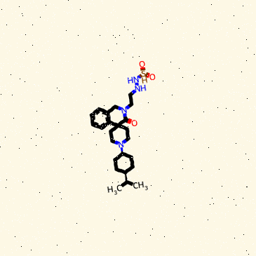 CC(C)[C@H]1CC[C@@H](N2CCC3(CC2)C(=O)N(CCNN[SH](=O)=O)Cc2ccccc23)CC1